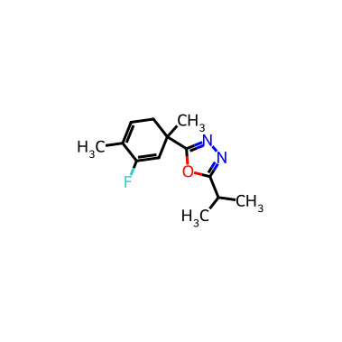 CC1=CCC(C)(c2nnc(C(C)C)o2)C=C1F